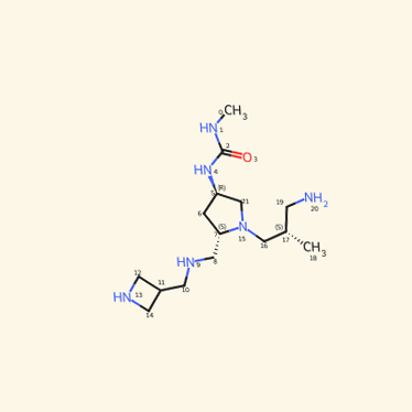 CNC(=O)N[C@@H]1C[C@@H](CNCC2CNC2)N(C[C@@H](C)CN)C1